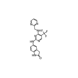 O=C1Cc2cc(Nc3ncc(C(F)(F)F)c(NCc4ncccn4)n3)ccc2N1